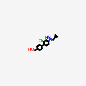 OCc1ccc(-c2ccc3c(nnn3CC3CC3)c2Cl)cc1